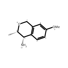 COc1ccc2c(c1)CO[C@@H](C)[C@H]2N